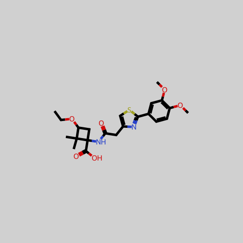 CCOC1CC(NC(=O)Cc2csc(-c3ccc(OC)c(OC)c3)n2)(C(=O)O)C1(C)C